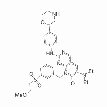 CCN(CC)c1cc2cnc(Nc3ccc(C4CNCCO4)cc3)nc2n(Cc2cccc(S(=O)(=O)CCOC)c2)c1=O